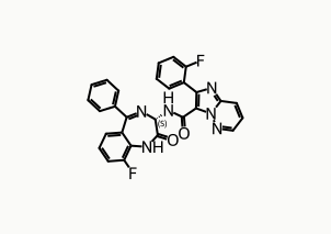 O=C(N[C@H]1N=C(c2ccccc2)c2cccc(F)c2NC1=O)c1c(-c2ccccc2F)nc2cccnn12